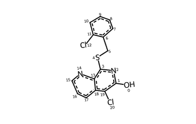 Oc1nc(SCc2ccccc2Cl)c2ncccc2c1Cl